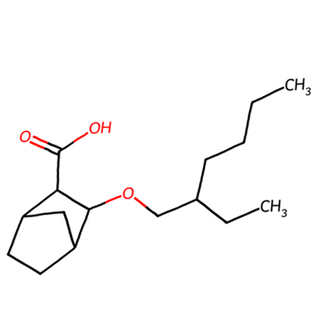 CCCCC(CC)COC1C2CCC(C2)C1C(=O)O